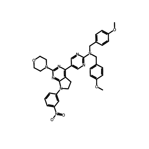 COc1ccc(CN(Cc2ccc(OC)cc2)c2ncc(-c3nc(N4CCOCC4)nc4c3CCN4c3cccc([N+](=O)[O-])c3)cn2)cc1